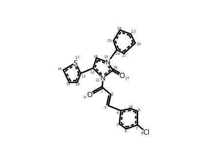 O=C(C=Cc1ccc(Cl)cc1)n1c(-c2cccs2)cn(-c2ccccc2)c1=O